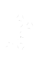 O=C(C=CC=C(c1ccc(C(F)(F)F)cc1)c1ccc(C(F)(F)F)cc1)Nc1ccccc1-c1n[nH]c(=O)o1